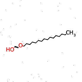 CCCCCCCCCCCCCCCCOC=CO